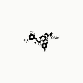 C=C(OC)[C@H]1CC[C@@]2(CCN(C(=O)N(C)Cc3cc(C(F)(F)F)cc(C(F)(F)F)c3)[C@@H](c3ccc(F)cc3C)C2)N1